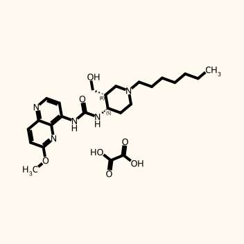 CCCCCCCN1CC[C@H](NC(=O)Nc2ccnc3ccc(OC)nc23)[C@H](CO)C1.O=C(O)C(=O)O